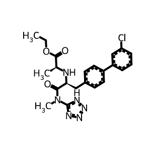 CCOC(=O)[C@H](C)N[C@@H](Cc1ccc(-c2cccc(Cl)c2)cc1)C(=O)N(C)c1nnn[nH]1